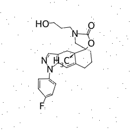 C[C@]12Cc3cnn(-c4ccc(F)cc4)c3C=C1CCC[C@@]21CN(CCCO)C(=O)O1